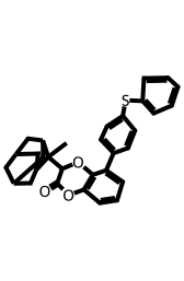 CC1(C2Oc3c(cccc3-c3ccc(Sc4ccccc4)cc3)OC2=O)C2CC3CC(C2)CC1C3